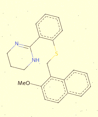 COc1ccc2ccccc2c1CSc1ccccc1C1=NCCCN1